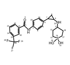 O=C(Nc1ccc(C2CC2NC2CCS(O)(O)CC2)cc1)c1cccc(C(F)(F)F)c1